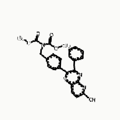 CC(C)(C)OC(=O)N(Cc1ccc(-c2nc3ccc(C#N)nc3nc2-c2ccccc2)cc1)C(=O)OC(C)(C)C